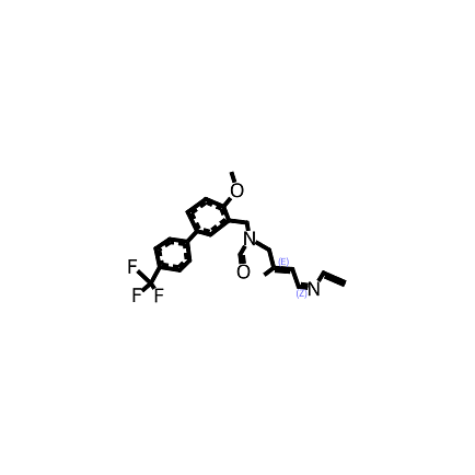 C=C/N=C\C=C(/C)CN(C=O)Cc1cc(-c2ccc(C(F)(F)F)cc2)ccc1OC